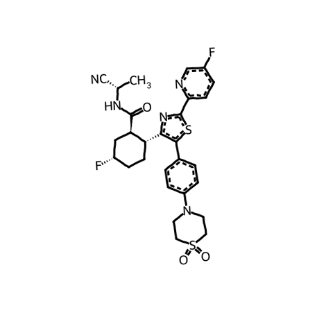 C[C@@H](C#N)NC(=O)[C@@H]1C[C@@H](F)CC[C@H]1c1nc(-c2ccc(F)cn2)sc1-c1ccc(N2CCS(=O)(=O)CC2)cc1